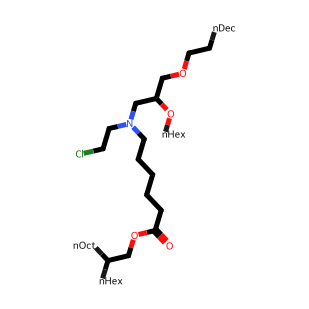 CCCCCCCCCCCCOCC(CN(CCCl)CCCCCC(=O)OCC(CCCCCC)CCCCCCCC)OCCCCCC